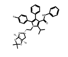 CC(C)c1c(C(=O)Nc2ccccc2)c(-c2ccccc2)c(-c2ccc(F)cc2)n1CC[C@@H]1C[C@H]2OC(C)(C)O[C@H]2O1